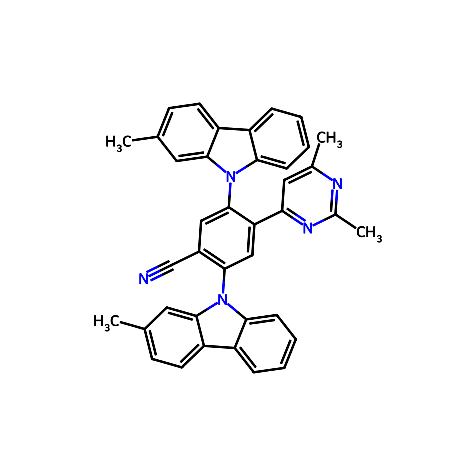 Cc1ccc2c3ccccc3n(-c3cc(-c4cc(C)nc(C)n4)c(-n4c5ccccc5c5ccc(C)cc54)cc3C#N)c2c1